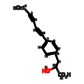 CCCCCCCCC#CC#Cc1ccc(CC(O)C(=O)O)cc1